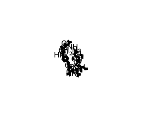 CC[C@H](C)C([C@@H](CC(=O)N1CCC[C@H]1[C@H](OC)[C@@H](C)C(N)=O)OC)N(C)C(=O)[C@@H](NC(=O)C(CC(=O)OCc1ccc(NC(=O)OC(C)OC(=O)[C@@H](N)C(C)C)cc1)C(C)C)C(C)C